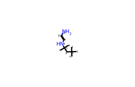 CC(C)(C)CC(C)(C)NC=CN